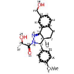 COc1ccc([C@@H]2[C@@H]3CCc4ccc(CO)cc4C3=NN2C(=O)[C@H](C)O)cc1